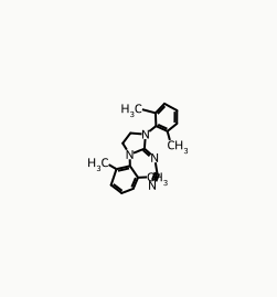 Cc1cccc(C)c1N1CCN(c2c(C)cccc2C)C1=NC#N